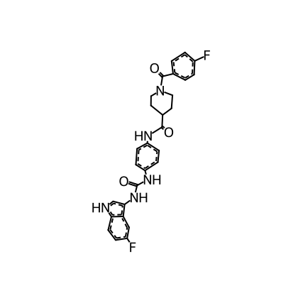 O=C(Nc1ccc(NC(=O)C2CCN(C(=O)c3ccc(F)cc3)CC2)cc1)Nc1c[nH]c2ccc(F)cc12